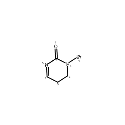 CC(C)N1CCC=NC1=O